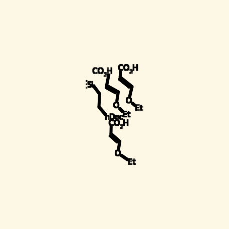 CCCCCCCCCCCC[Si].CCOC=CC(=O)O.CCOC=CC(=O)O.CCOC=CC(=O)O